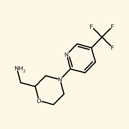 NCC1CN(c2ccc(C(F)(F)F)cn2)CCO1